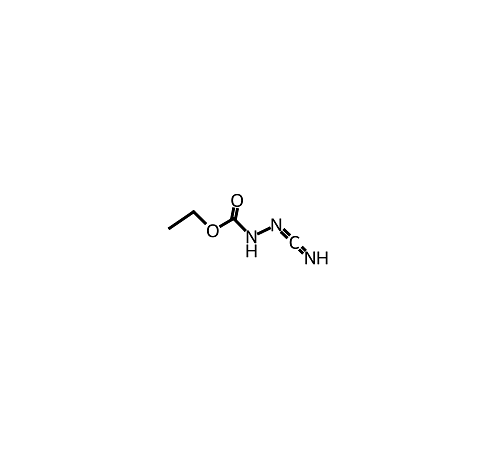 CCOC(=O)NN=C=N